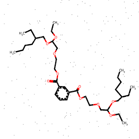 CCCCC(CC)COC(COCCOC(=O)c1cccc(C(=O)OCCOCC(OCC)OCC(CC)CCCC)c1)OCC